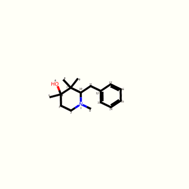 CN1CCC(C)(O)C(C)(C)C1Cc1ccccc1